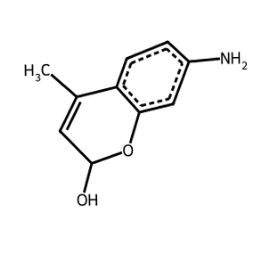 CC1=CC(O)Oc2cc(N)ccc21